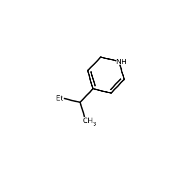 CCC(C)C1=CCNC=C1